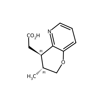 C[C@H]1COc2cccnc2[C@@H]1CC(=O)O